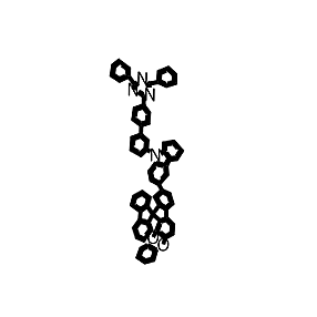 c1ccc(-c2nc(-c3ccccc3)nc(-c3ccc(-c4cccc(-n5c6ccccc6c6cc(-c7ccc8c(c7)C7(c9ccccc9-c9ccccc97)c7c-8ccc8c7Oc7ccccc7O8)ccc65)c4)cc3)n2)cc1